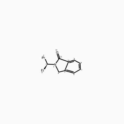 CC[C@@H](C(C)C)N1Cc2ccccc2C1=O